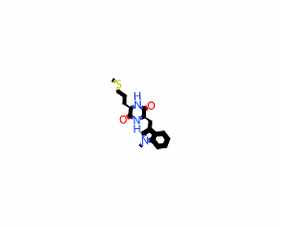 CSCCC[C@H]1NC(=O)[C@@H](Cc2cn(C)c3ccccc23)NC1=O